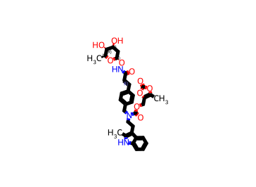 Cc1[nH]c2ccccc2c1CCN(Cc1ccc(/C=C/C(=O)NO[C@H]2C[C@H](O)[C@@H](O)[C@H](C)O2)cc1)C(=O)OCc1oc(=O)oc1C